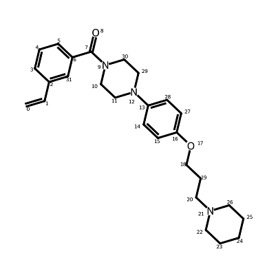 C=Cc1cccc(C(=O)N2CCN(c3ccc(OCCCN4CCCCC4)cc3)CC2)c1